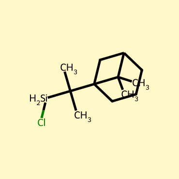 CC(C)([SiH2]Cl)C12CCCC(C1)C2(C)C